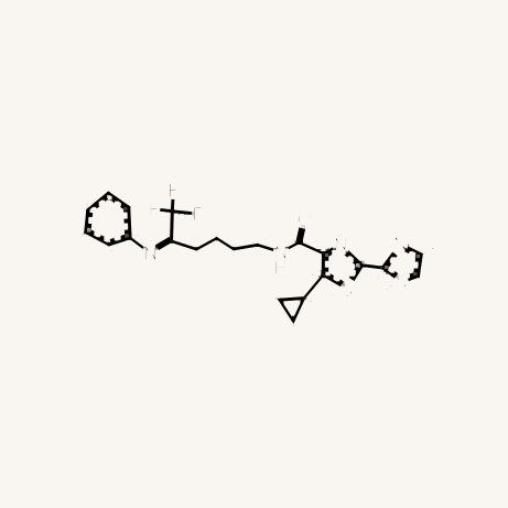 O=C(NCCCC/C(=N/c1ccccc1)C(F)(F)F)c1nc(-c2nccs2)sc1C1CC1